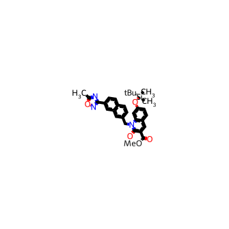 COC(=O)c1cc2ccc(O[Si](C)(C)C(C)(C)C)cc2n(Cc2ccc3ccc(-c4noc(C)n4)cc3c2)c1=O